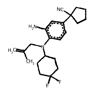 C=C(C)CN(c1ccc(C2(C#N)CCCC2)cc1N)C1CCC(F)(F)CC1